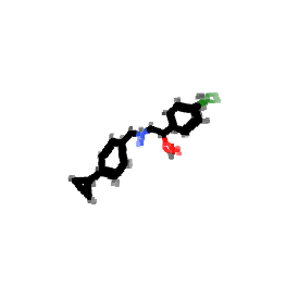 O[C@@H](CNCc1ccc(C2CC2)cc1)c1ccc(Cl)cc1